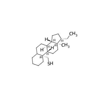 CC[C@H]1CC[C@H]2[C@@H]3CCC4CCCC[C@]4(CS)[C@H]3CC[C@]12C